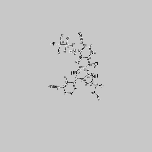 Cc1c(C#N)cccc1[C@H](Nc1cc(Cl)c2ncc(C#N)c(NCC(C)(C)C(F)(F)F)c2c1)C1=CN([C@@H](C)CF)NN1